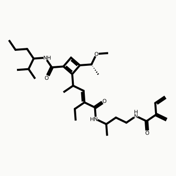 C=CC(=C)C(=O)NCCC(C)NC(=O)/C(=C/C(C)C1=C(C(=O)NC(CCC)C(C)C)C=C1[C@@H](C)OC)CC